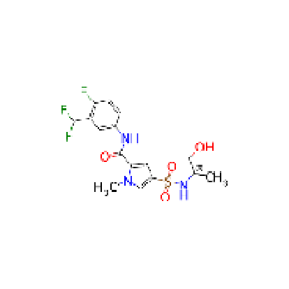 C[C@H](CO)NS(=O)(=O)c1cc(C(=O)Nc2ccc(F)c(C(F)F)c2)n(C)c1